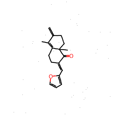 C=C1CCC2(C)C(=O)C(=Cc3ccco3)CCC2=C1C